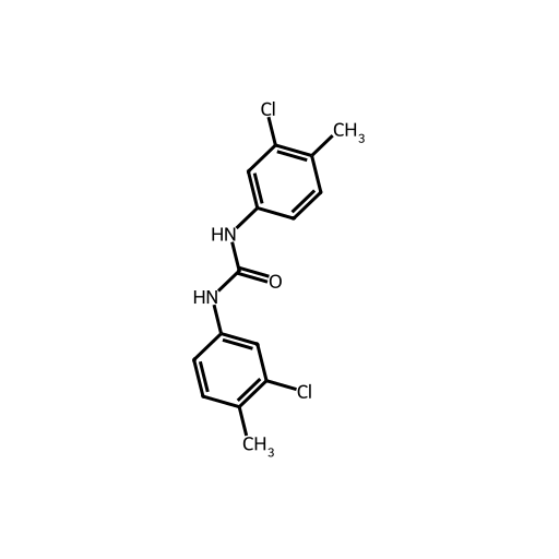 Cc1ccc(NC(=O)Nc2ccc(C)c(Cl)c2)cc1Cl